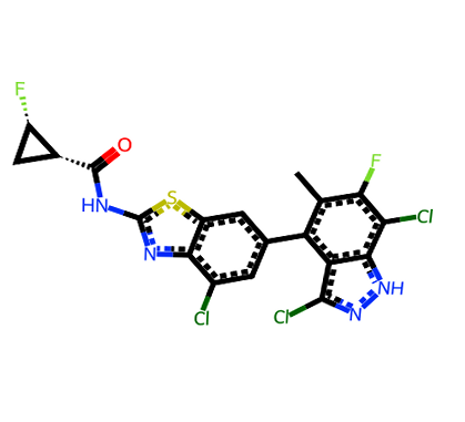 Cc1c(F)c(Cl)c2[nH]nc(Cl)c2c1-c1cc(Cl)c2nc(NC(=O)[C@@H]3C[C@@H]3F)sc2c1